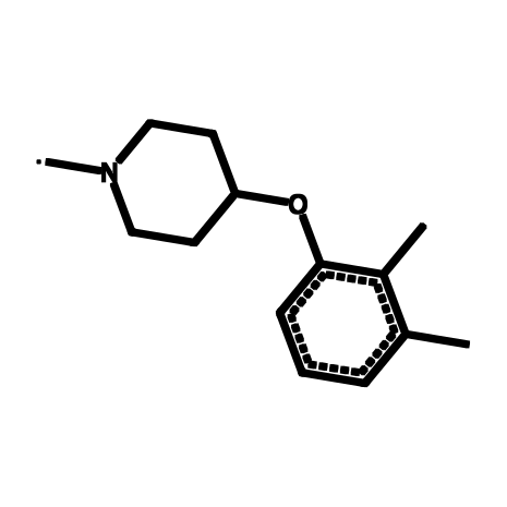 [CH2]N1CCC(Oc2cccc(C)c2C)CC1